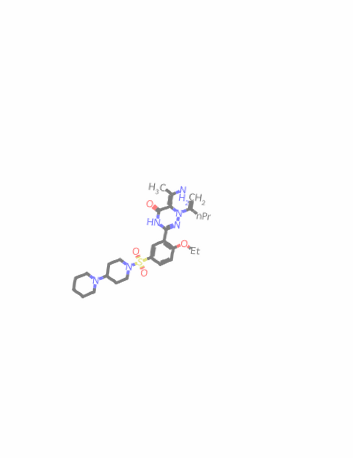 C=C(CCC)N1N=C(c2cc(S(=O)(=O)N3CCC(N4CCCCC4)CC3)ccc2OCC)NC(=O)/C1=C(\C)N